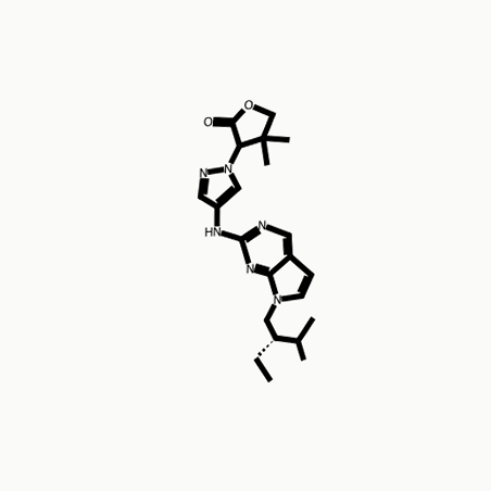 CC[C@H](Cn1ccc2cnc(Nc3cnn(C4C(=O)OCC4(C)C)c3)nc21)C(C)C